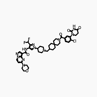 O=C1CCN(c2cc(C(=O)N3CCC4(CCC(CN5CCC(n6cc(NC(=O)c7cnn8ccc(N9CCOCC9)nc78)c(C(F)F)n6)CC5)CC4)CC3)ccc2Cl)C(=O)N1